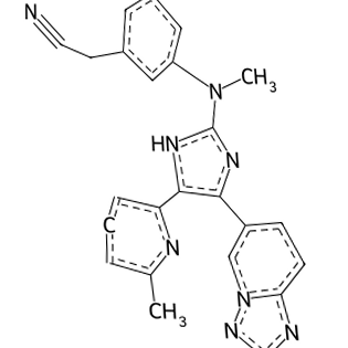 Cc1cccc(-c2[nH]c(N(C)c3cccc(CC#N)c3)nc2-c2ccc3ncnn3c2)n1